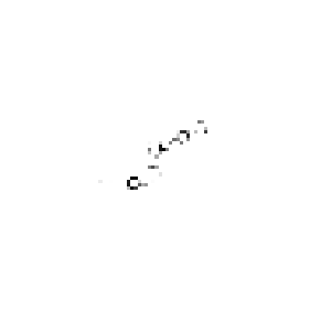 COc1ccc(CN2CCC(Nc3c(Cl)cnc4[nH]c(-c5ccc(N6CCOCC6)cc5)nc34)CC2)cc1